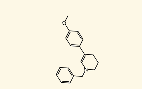 COc1ccc(C2=CN(Cc3ccccc3)CCC2)cc1